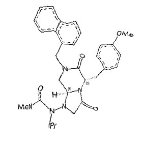 CNC(=O)N(C(C)C)N1CC(=O)N2[C@@H](Cc3ccc(OC)cc3)C(=O)N(Cc3cccc4ccccc34)C[C@@H]21